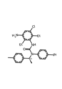 CCc1c(N)cc(Cl)c(CC)c1NC(=O)N(c1ccc(C(C)C)cc1)[C@@H](C)c1ccc(C)cc1